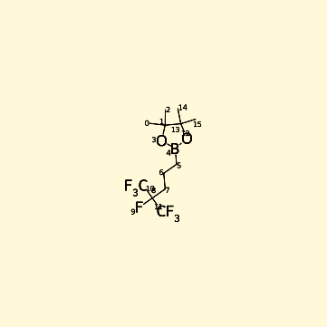 CC1(C)OB(CCCC(F)(C(F)(F)F)C(F)(F)F)OC1(C)C